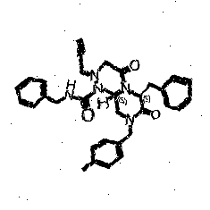 C#CCN1CC(=O)N2[C@@H](Cc3ccccc3)C(=O)N(Cc3ccc(C)cc3)C[C@@H]2N1C(=O)NCc1ccccc1